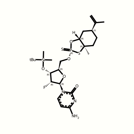 C=C(C)[C@H]1CC[C@@]2(C)S[P@](=S)(OC[C@H]3O[C@@H](n4ccc(N)nc4=O)[C@H](F)[C@@H]3O[Si](C)(C)C(C)(C)C)O[C@@H]2C1